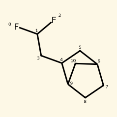 FC(F)CC1CC2CCC1C2